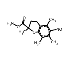 Cc1c(C)c2c(c(C)c1N=O)CCC(C)(C(=O)ON)O2